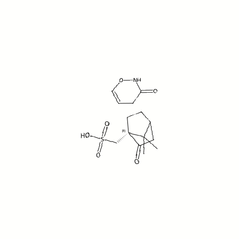 CC1(C)C2CC[C@]1(CS(=O)(=O)O)C(=O)C2.O=C1CC=CON1